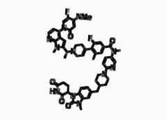 CNc1cc(=O)n(-c2ccnc3c2cc([C@H](C)N2CC=C(c4c(C)cc(C(=O)N(C)c5ccc(N6CCC(Cc7ccc8c(c7)n(C)c(=O)n8C7CCC(=O)NC7=O)CC6)nc5)cc4F)CC2)n3C)cc1F